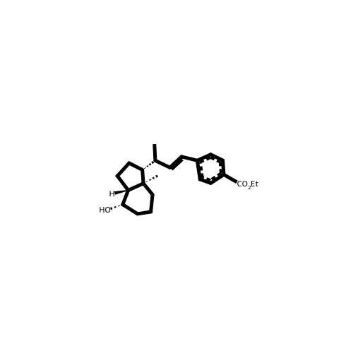 CCOC(=O)c1ccc(C=CC(C)[C@H]2CC[C@H]3[C@@H](O)CCC[C@]23C)cc1